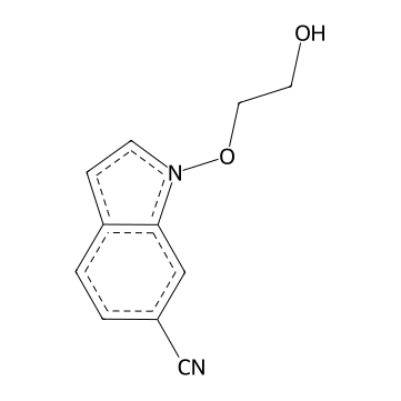 N#Cc1ccc2ccn(OCCO)c2c1